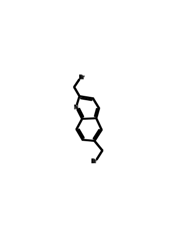 BrCc1ccc2nc(CBr)ccc2c1